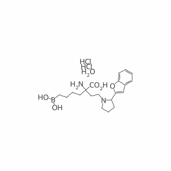 Cl.Cl.NC(CCCCB(O)O)(CCN1CCCC1c1cc2ccccc2o1)C(=O)O.O